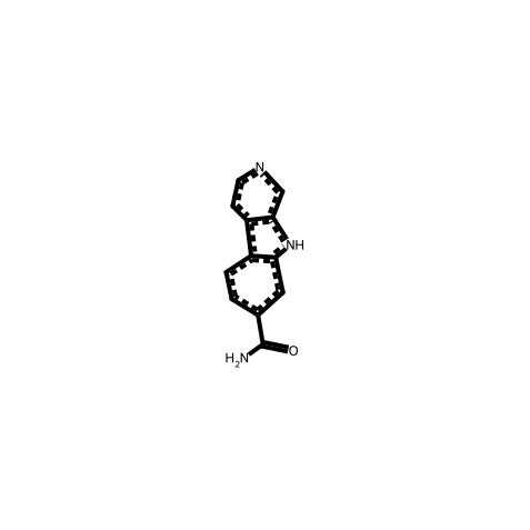 NC(=O)c1ccc2c(c1)[nH]c1cnccc12